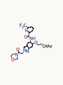 COCCOc1cc2nn(CC(=O)N3CCOCC3)cc2cc1NC(=O)c1cccc(C(F)(F)F)n1